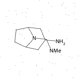 CNCN1C2CCC1CC(N)C2